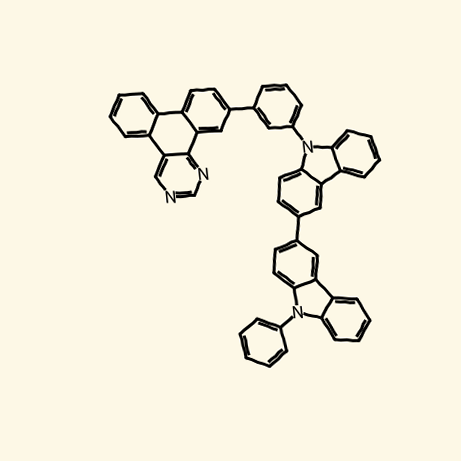 c1ccc(-n2c3ccccc3c3cc(-c4ccc5c(c4)c4ccccc4n5-c4cccc(-c5ccc6c7ccccc7c7cncnc7c6c5)c4)ccc32)cc1